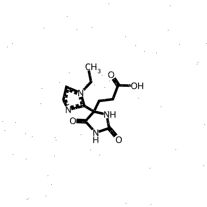 CCn1ccnc1C1(CCC(=O)O)NC(=O)NC1=O